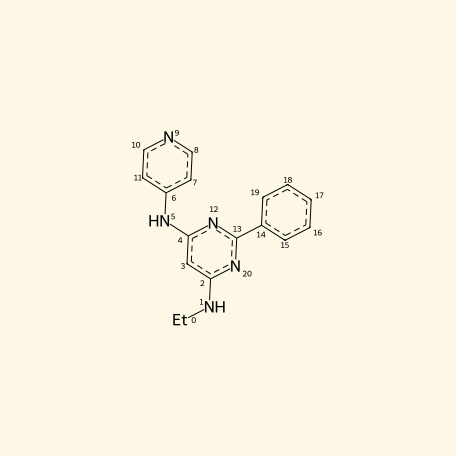 CCNc1cc(Nc2ccncc2)nc(-c2ccccc2)n1